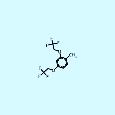 Cc1ccc(OCC(F)(F)F)cc1OCC(F)(F)F